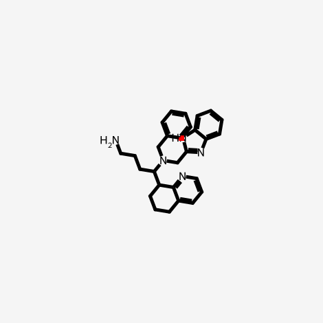 NCCCC(C1CCCc2cccnc21)N(Cc1ccccc1)Cc1nc2ccccc2[nH]1